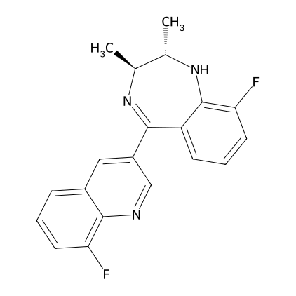 C[C@@H]1N=C(c2cnc3c(F)cccc3c2)c2cccc(F)c2N[C@H]1C